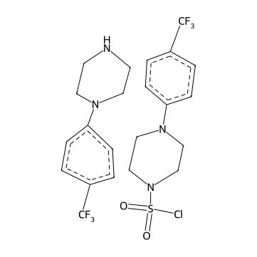 FC(F)(F)c1ccc(N2CCNCC2)cc1.O=S(=O)(Cl)N1CCN(c2ccc(C(F)(F)F)cc2)CC1